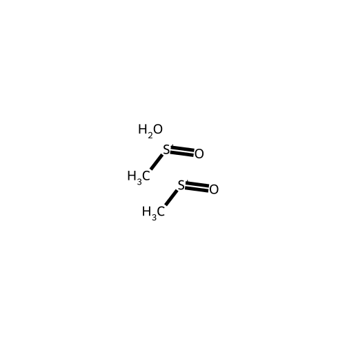 C[S+]=O.C[S+]=O.O